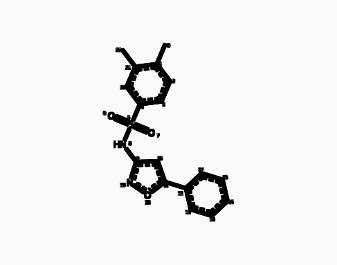 Cc1ccc(S(=O)(=O)Nc2cc(-c3ccccc3)on2)cc1C